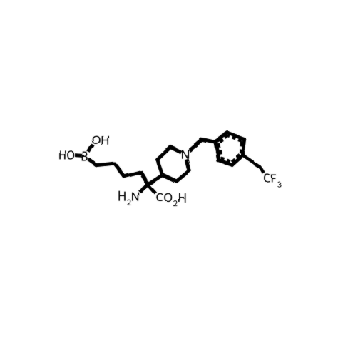 NC(CCCCB(O)O)(C(=O)O)C1CCN(Cc2ccc(CC(F)(F)F)cc2)CC1